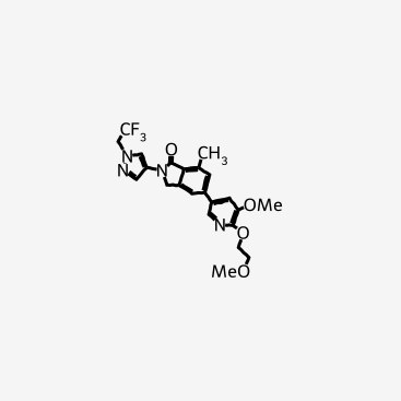 COCCOc1ncc(-c2cc(C)c3c(c2)CN(c2cnn(CC(F)(F)F)c2)C3=O)cc1OC